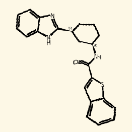 O=C(N[C@@H]1CCC[C@H](c2nc3ccccc3[nH]2)C1)c1cc2ccccc2s1